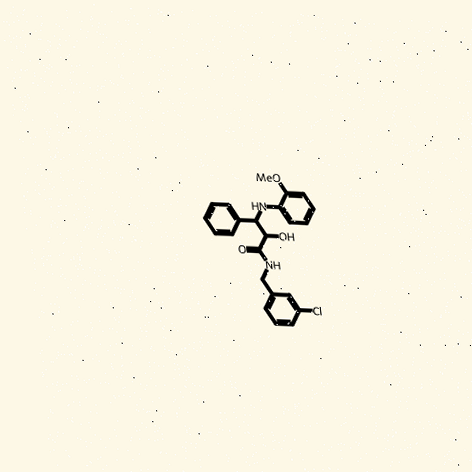 COc1ccccc1NC(c1ccccc1)C(O)C(=O)NCc1cccc(Cl)c1